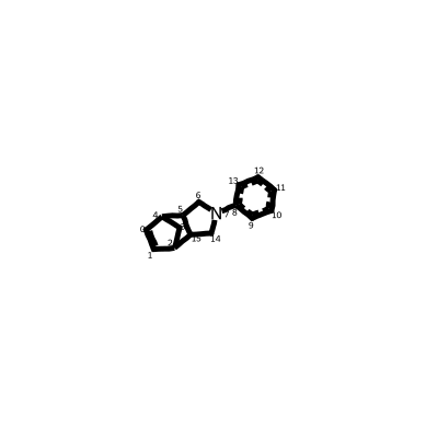 C1=CC2CC1C1CN(c3ccccc3)CC21